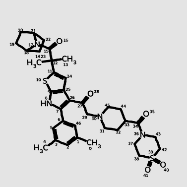 Cc1cc(C)cc(-c2[nH]c3sc(C(C)(C)C(=O)N4C5CCC4CC5)cc3c2C(=O)CN2CCC(C(=O)N3CCS(=O)(=O)CC3)CC2)c1